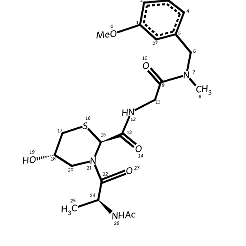 COc1cccc(CN(C)C(=O)CNC(=O)[C@@H]2SC[C@@H](O)CN2C(=O)[C@H](C)NC(C)=O)c1